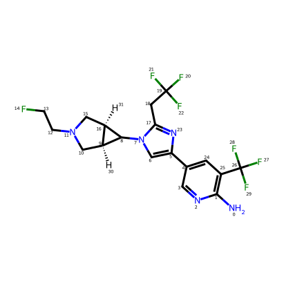 Nc1ncc(-c2cn(C3[C@H]4CN(CCF)C[C@@H]34)c(CC(F)(F)F)n2)cc1C(F)(F)F